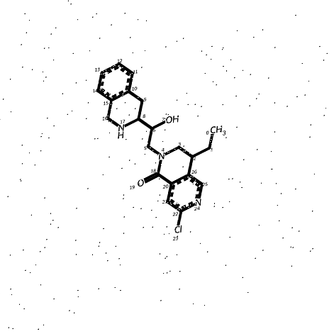 CCC1CN(CC(O)C2Cc3ccccc3CN2)C(=O)c2cc(Cl)ncc21